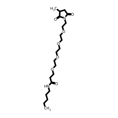 CCCCCNC(=O)CCOCCOCCOCCOCCN1C(=O)CC(C)C1=O